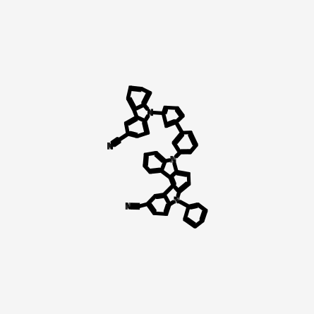 N#Cc1ccc2c(c1)c1ccccc1n2-c1cccc(-c2cccc(-n3c4ccccc4c4c5c6cc(C#N)ccc6n(-c6ccccc6)c5ccc43)c2)c1